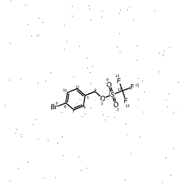 O=S(=O)(OCc1ccc(Br)cc1)C(F)(F)F